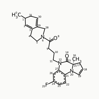 CC1C=C2CCN(C(=O)CCCN3C(=O)[C@@]4(C)CC=CN4c4ccc(F)cc43)CC2=CC1